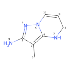 Cc1c(N)nn2c1NCC=C2